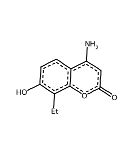 CCc1c(O)ccc2c(N)cc(=O)oc12